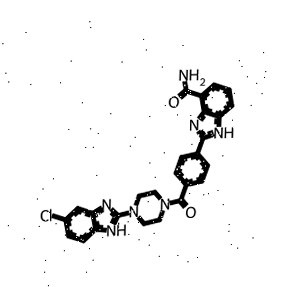 NC(=O)c1cccc2[nH]c(-c3ccc(C(=O)N4CCN(c5nc6cc(Cl)ccc6[nH]5)CC4)cc3)nc12